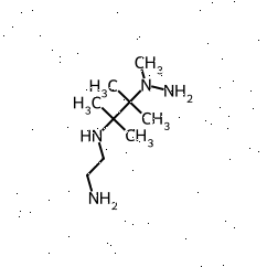 CN(N)C(C)(C)C(C)(C)NCCN